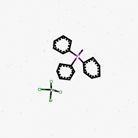 C[P+](c1ccccc1)(c1ccccc1)c1ccccc1.[Cl][Fe-]([Cl])([Cl])[Br]